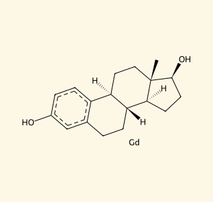 C[C@]12CC[C@@H]3c4ccc(O)cc4CC[C@H]3[C@@H]1CC[C@@H]2O.[Gd]